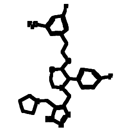 Fc1ccc(C2C(OCCc3cc(F)cc(C(F)(F)F)c3)OCCN2Cc2nn[nH]c2CN2CCCC2)cc1